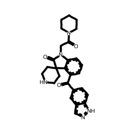 O=C(c1ccc2[nH]ncc2c1)c1cccc2c1C1(CCNCC1)C(=O)N2CC(=O)N1CCCCC1